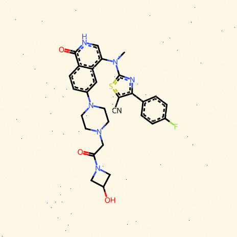 CN(c1nc(-c2ccc(F)cc2)c(C#N)s1)c1c[nH]c(=O)c2ccc(N3CCN(CC(=O)N4CC(O)C4)CC3)cc12